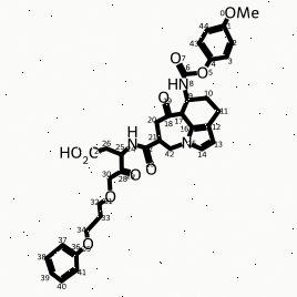 COc1ccc(OC(=O)NC2CCc3ccn4c3C2C(=O)CC(C(=O)NC(CC(=O)O)C(=O)COCCCOc2ccccc2)C4)cc1